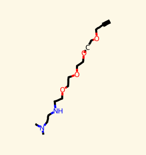 C#CCOCCOCCOCCOCCNCCN(C)C